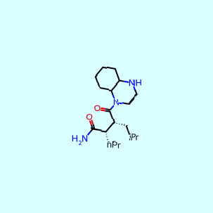 CCC[C@H](C(N)=O)[C@@H](CC(C)C)C(=O)N1CCNC2CCCCC21